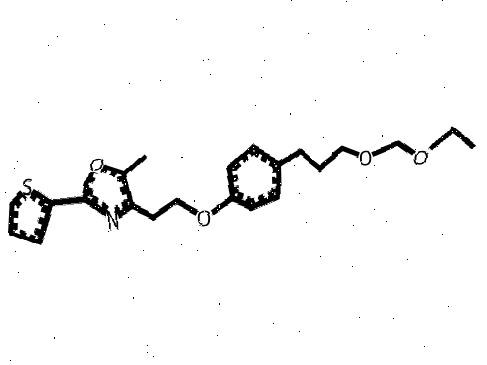 CCOCOCCCc1ccc(OCCc2nc(-c3cccs3)oc2C)cc1